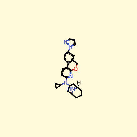 c1cnn(-c2ccc3c(c2)COc2nc(N(C4CC4)[C@@H]4CC5CCC[C@@H](C4)N5)ccc2-3)c1